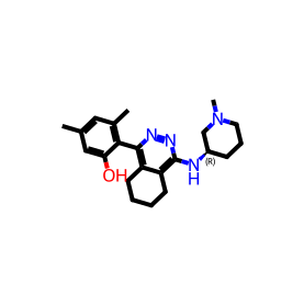 Cc1cc(C)c(-c2nnc(N[C@@H]3CCCN(C)C3)c3c2CCCC3)c(O)c1